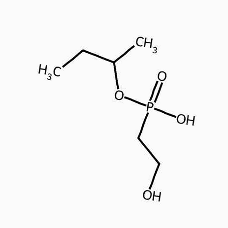 CCC(C)OP(=O)(O)CCO